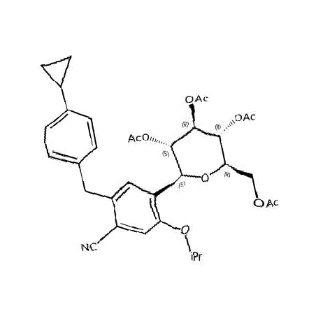 CC(=O)OC[C@H]1O[C@@H](c2cc(Cc3ccc(C4CC4)cc3)c(C#N)cc2OC(C)C)[C@H](OC(C)=O)[C@@H](OC(C)=O)[C@@H]1OC(C)=O